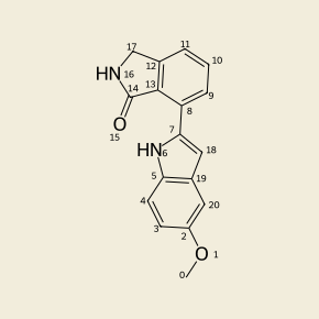 COc1ccc2[nH]c(-c3cccc4c3C(=O)NC4)cc2c1